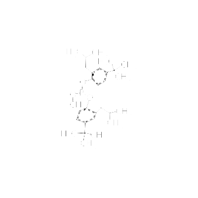 COP(Oc1ccc(C(C)(C)C)cc1CC(C)C)Oc1ccc(C(C)(C)C)cc1CC(C)C